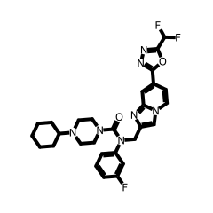 O=C(N1CCN(C2CCCCC2)CC1)N(Cc1cn2ccc(-c3nnc(C(F)F)o3)cc2n1)c1cccc(F)c1